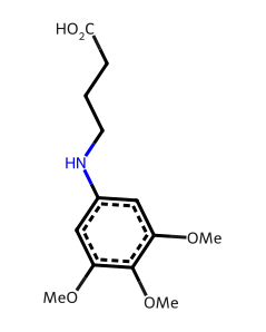 COc1cc(NCCCC(=O)O)cc(OC)c1OC